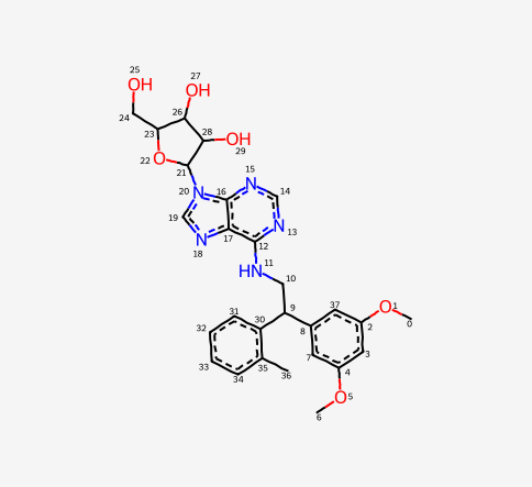 COc1cc(OC)cc(C(CNc2ncnc3c2ncn3C2OC(CO)C(O)C2O)c2ccccc2C)c1